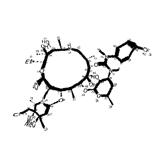 CC[C@H]1OC(=O)[C@H](C)[C@@H](O[C@H]2C[C@@](C)(OC)[C@](O)(CCl)[C@H](C)O2)[C@H](C)[C@@H](O[C@@H]2O[C@H](C)C[C@H](N(C)C(=O)N(C)c3ccc(C(F)(F)F)cc3)[C@H]2O)[C@](C)(O)C[C@@H](C)CN[C@H](C)[C@@H](O)[C@]1(C)O